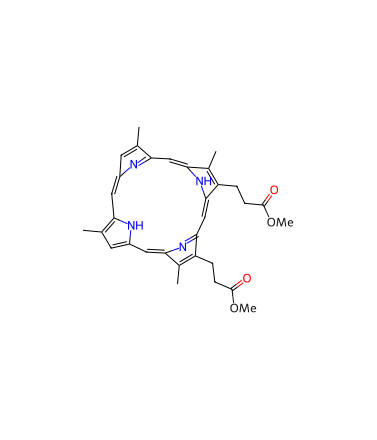 COC(=O)CCC1=C(C)c2cc3cc(C)c(cc4nc(cc5[nH]c(cc1n2)c(CCC(=O)OC)c5C)C(C)=C4)[nH]3